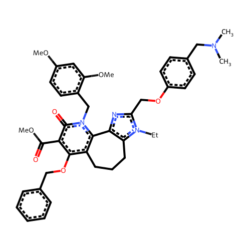 CCn1c(COc2ccc(CN(C)C)cc2)nc2c1CCCc1c(OCc3ccccc3)c(C(=O)OC)c(=O)n(Cc3ccc(OC)cc3OC)c1-2